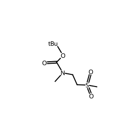 CN(CCS(C)(=O)=O)C(=O)OC(C)(C)C